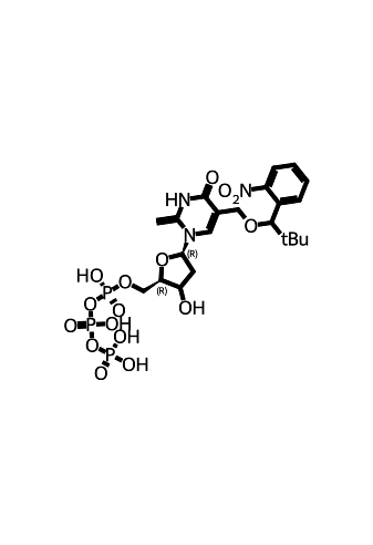 C=C1NC(=O)C(COC(c2ccccc2[N+](=O)[O-])C(C)(C)C)=CN1[C@H]1CC(O)[C@@H](COP(=O)(O)OP(=O)(O)OP(=O)(O)O)O1